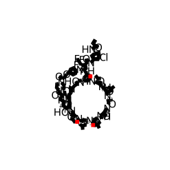 C=CC(=O)Nc1cc(Cl)cc(NC(=O)c2cnn(-c3ccc(OCC(=O)N4CCN(C(=O)CCC[C@@H](C)[C@@H](O)[C@H]5C(=O)N[C@@H](CC)C(=O)N(C)CC(O)N(C)[C@@H](CC(C)C)C(=O)N[C@@H](C(C)C)C(=O)N(C)[C@@H](CC(C)C)C(=O)N[C@@H](C)C(=O)N[C@H](C)C(=O)N(C)[C@@H](CC(C)C)C(=O)N(C)[C@@H](CC(C)C)C(=O)N(C)[C@@H](C(C)C)C(=O)N5C)CC4)cc3)c2C(F)(F)F)c1